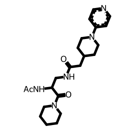 CC(=O)NC(CNC(=O)CC1CCN(c2ccncc2)CC1)C(=O)N1CCCCC1